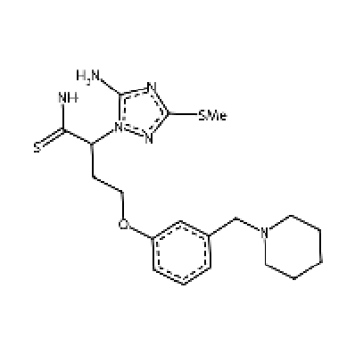 CSc1nc(N)n(C(CCOc2cccc(CN3CCCCC3)c2)C([NH])=S)n1